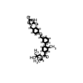 CCN(CC(C)(C)O)C(=O)c1ccc(-c2cccc(COc3ccc(Cn4oc(=O)[nH]c4=O)cc3)c2)c(C)c1